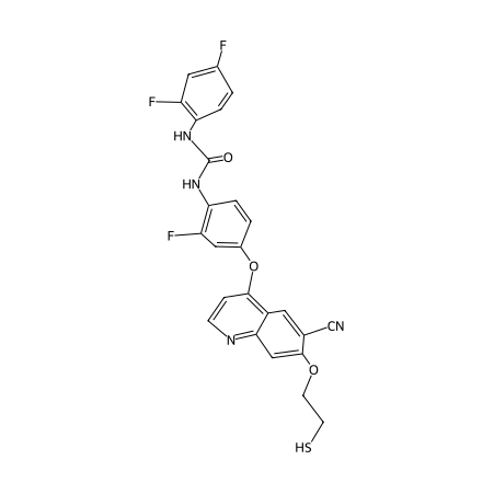 N#Cc1cc2c(Oc3ccc(NC(=O)Nc4ccc(F)cc4F)c(F)c3)ccnc2cc1OCCS